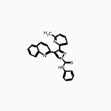 Cc1cccc(-c2nn(C(=S)Nc3ccccc3)cc2-c2ccc3ccccc3n2)n1